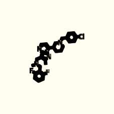 Cc1nn2c(C3CCCN(Cc4ccc(Cl)cc4)C3)ccnc2c1CN(C)Cc1c(F)cccc1F